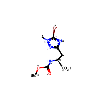 Cn1nc(C[C@H](NC(=O)OC(C)(C)C)C(=O)O)nc1Br